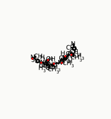 Cc1ncsc1-c1ccc([C@H](C)NC(=O)[C@@H]2C[C@@H](O)CN2C(=O)[C@@H](NC(=O)COCCN2C[C@@H](C)N(c3ccc(C(=O)N[C@H]4C(C)(C)[C@H](Cc5ccc(C#N)c(Cl)c5)C4(C)C)cn3)[C@@H](C)C2)C(C)(C)C)cc1